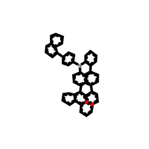 c1ccc(-c2ccc(-c3ccccc3N(c3ccc(-c4cccc5ccccc45)cc3)c3ccc(-c4cc5ccccc5c5ccccc45)cc3)cc2)cc1